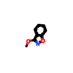 COc1noc2ccccc12